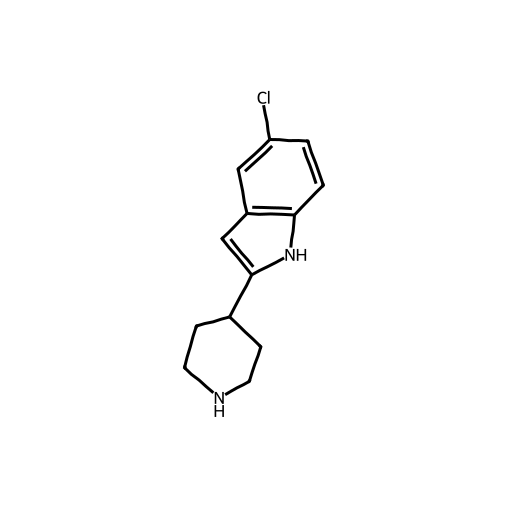 Clc1ccc2[nH]c(C3CCNCC3)cc2c1